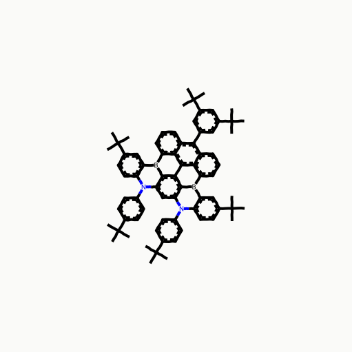 CC(C)(C)c1ccc(N2c3ccc(C(C)(C)C)cc3B3c4c2cc2c5c4-c4c6c3cccc6c(-c3cc(C(C)(C)C)cc(C(C)(C)C)c3)c3cccc(c43)B5c3cc(C(C)(C)C)ccc3N2c2ccc(C(C)(C)C)cc2)cc1